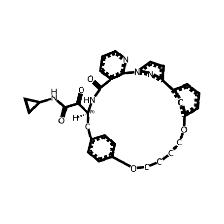 O=C(NC1CC1)C(=O)[C@@H]1Cc2ccc(cc2)OCCCCOc2cccc(c2)-c2ccn(n2)-c2ncccc2C(=O)N1